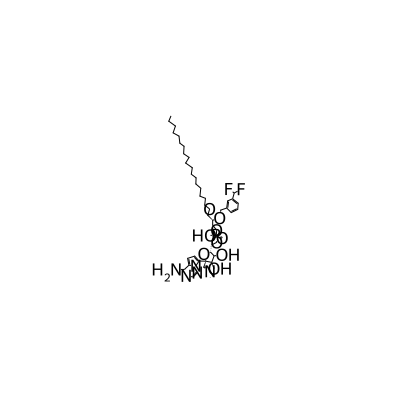 CCCCCCCCCCCCCCCCCCOC[C@H](COP(=O)(O)OC[C@H]1O[C@@](C=NC)(c2ccc3c(N)ncnn23)[C@H](O)[C@@H]1O)OCc1cccc(C(F)F)c1